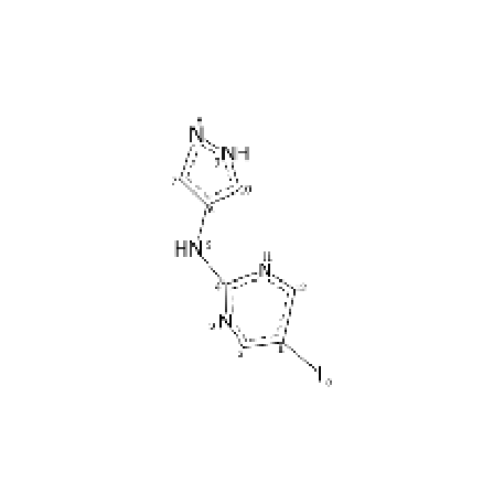 Ic1cnc(Nc2cn[nH]c2)nc1